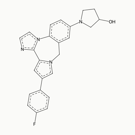 OC1CCN(c2ccc3c(c2)Cn2cc(-c4ccc(F)cc4)cc2-c2nccn2-3)C1